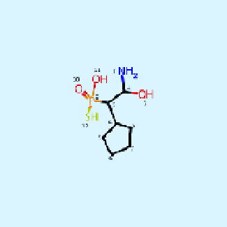 NC(O)C(C1CCCC1)P(=O)(O)S